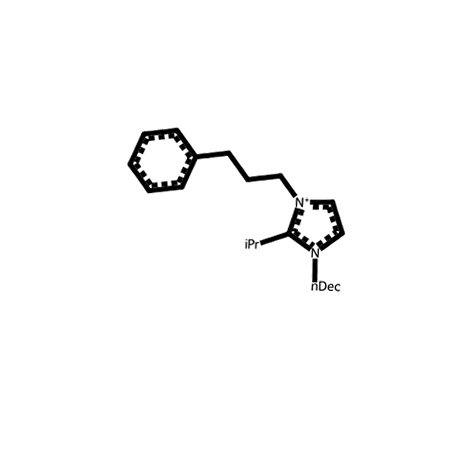 CCCCCCCCCCn1cc[n+](CCCc2ccccc2)c1C(C)C